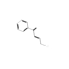 NCC=CC(=O)c1ccccc1